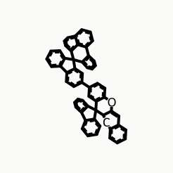 C1=C2Oc3ccc(-c4ccc5c(c4)C4(c6ccccc6-5)c5ccccc5-c5cccc6cccc4c56)cc3C3(c4ccccc4-c4ccccc43)C2Cc2ccccc21